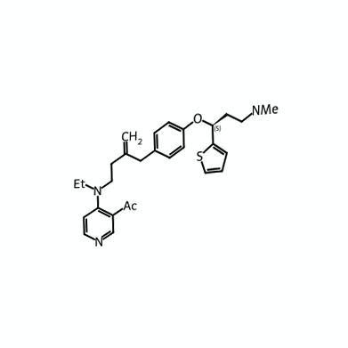 C=C(CCN(CC)c1ccncc1C(C)=O)Cc1ccc(O[C@@H](CCNC)c2cccs2)cc1